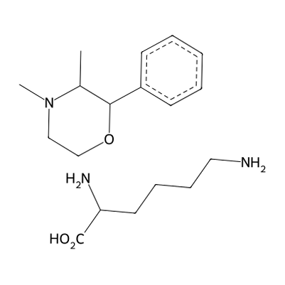 CC1C(c2ccccc2)OCCN1C.NCCCCC(N)C(=O)O